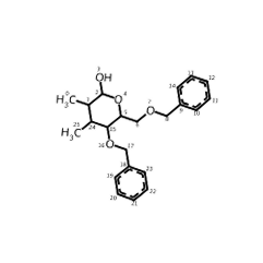 CC1C(O)OC(COCc2ccccc2)C(OCc2ccccc2)C1C